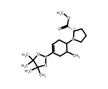 COC(=O)[C@@H]1CCCN1C1CC=C(B2OC(C)(C)C(C)(C)O2)CC1C